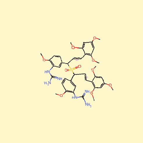 COc1cc(OC)c(/C=C/C(c2ccc(OC)c(NC(=N)N)c2)S(=O)(=O)C(/C=C/c2c(OC)cc(OC)cc2OC)c2ccc(OC)c(NC(=N)N)c2)c(OC)c1